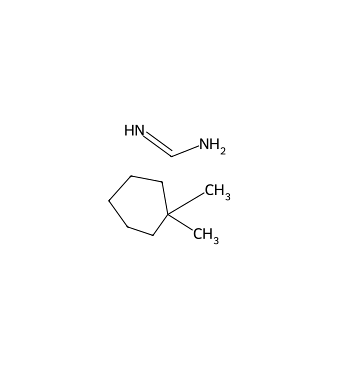 CC1(C)CCCCC1.N=CN